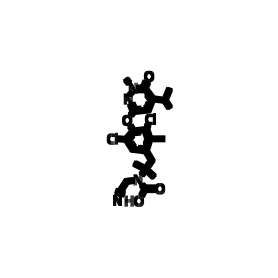 Cc1c(CC(C)(C)N(CC#N)C(=O)O)cc(Cl)c(Oc2cc(C(C)C)c(=O)n(C)n2)c1Cl